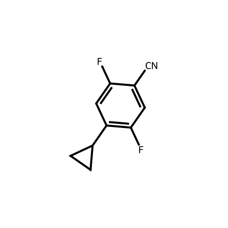 N#Cc1cc(F)c(C2CC2)cc1F